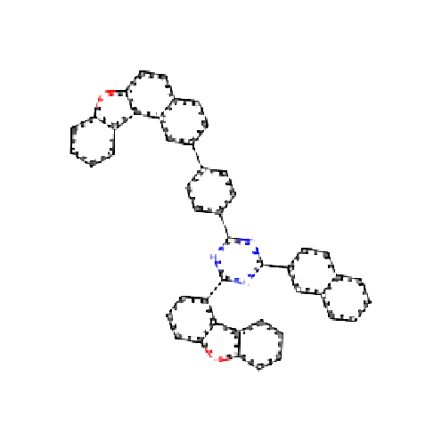 c1ccc2cc(-c3nc(-c4ccc(-c5ccc6ccc7oc8ccccc8c7c6c5)cc4)nc(-c4cccc5oc6ccccc6c45)n3)ccc2c1